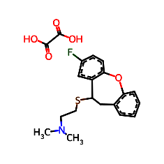 CN(C)CCSC1Cc2ccccc2Oc2ccc(F)cc21.O=C(O)C(=O)O